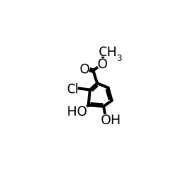 COC(=O)c1ccc(O)c(O)c1Cl